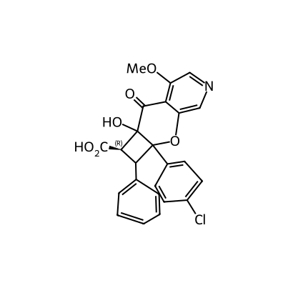 COc1cncc2c1C(=O)C1(O)[C@H](C(=O)O)C(c3ccccc3)C1(c1ccc(Cl)cc1)O2